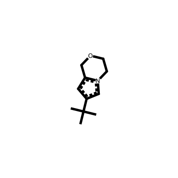 CC(C)(C)c1cc2n(c1)CCOC2